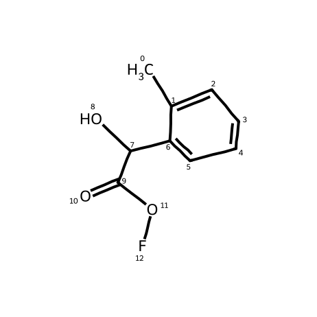 Cc1ccccc1C(O)C(=O)OF